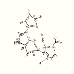 CN(C)c1ccc(F)c(-c2cc3c(-c4cnn(C)c4)n[nH]c3cn2)c1F